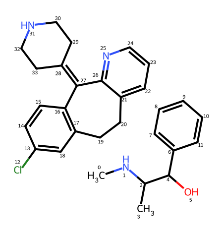 CNC(C)C(O)c1ccccc1.Clc1ccc2c(c1)CCc1cccnc1C2=C1CCNCC1